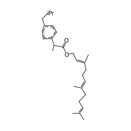 CC(C)=CCC/C(C)=C/CC/C(C)=C/COC(=O)C(C)c1ccc(CC(C)C)cc1